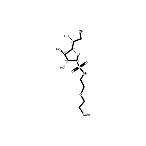 COCCOCCNS(=O)(=O)[C@@H]1O[C@@H]([C@H](O)CO)[C@H](O)[C@H]1O